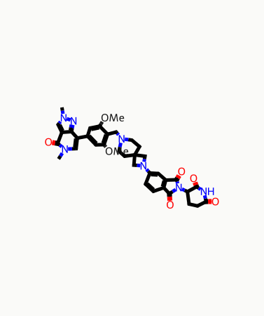 COc1cc(-c2cn(C)c(=O)c3cn(C)nc23)cc(OC)c1CN1CCC2(CC1)CN(c1ccc3c(c1)C(=O)N(C1CCC(=O)NC1=O)C3=O)C2